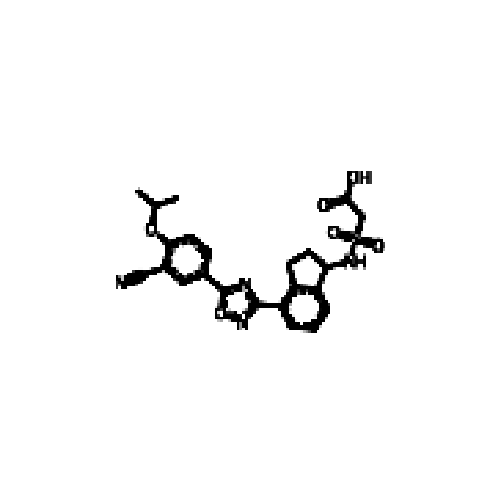 CC(C)Oc1ccc(-c2nc(-c3cccc4c3CCC4NS(=O)(=O)CC(=O)O)no2)cc1C#N